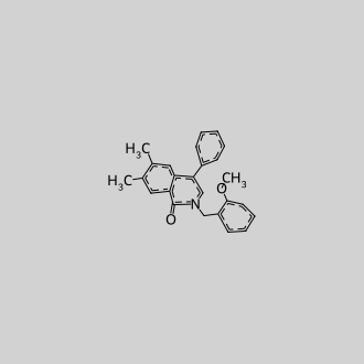 COc1ccccc1Cn1cc(-c2ccccc2)c2cc(C)c(C)cc2c1=O